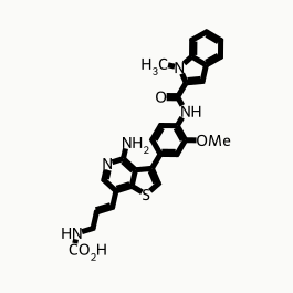 COc1cc(-c2csc3c(C=CCNC(=O)O)cnc(N)c23)ccc1NC(=O)c1cc2ccccc2n1C